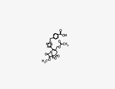 CO[C@H]1C(=O)N2C(c3nnn(Cc4ccc(C(=O)O)cc4)n3)=C(COC(C)=O)CS(=O)(=O)[C@@H]12